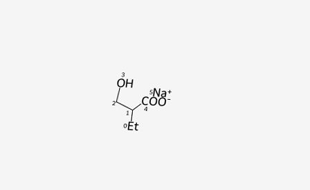 CCC(CO)C(=O)[O-].[Na+]